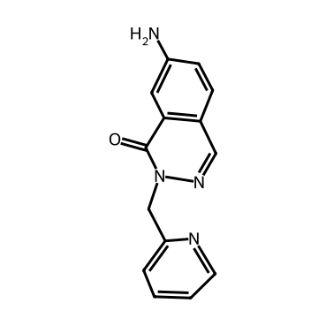 Nc1ccc2cnn(Cc3ccccn3)c(=O)c2c1